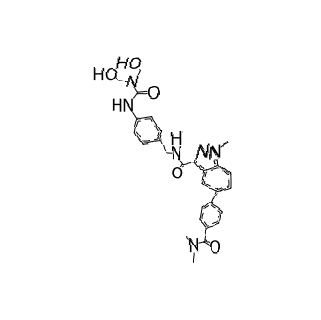 CN(C)C(=O)c1ccc(-c2ccc3c(c2)c(C(=O)NCc2ccc(NC(=O)N(CO)CO)cc2)nn3C)cc1